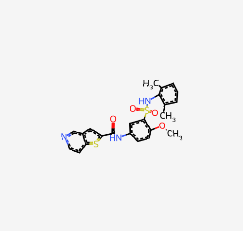 COc1ccc(NC(=O)c2cc3cnccc3s2)cc1S(=O)(=O)Nc1c(C)cccc1C